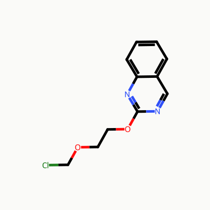 ClCOCCOc1ncc2ccccc2n1